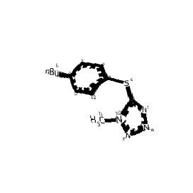 CCCCc1ccc(Sc2nnnn2C)cc1